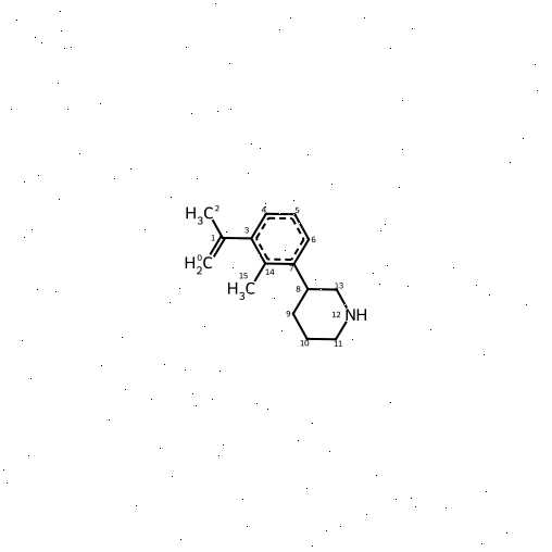 C=C(C)c1cccc(C2CCCNC2)c1C